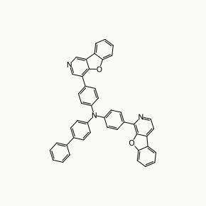 c1ccc(-c2ccc(N(c3ccc(-c4cncc5c4oc4ccccc45)cc3)c3ccc(-c4nccc5c4oc4ccccc45)cc3)cc2)cc1